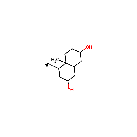 CCCC1CC(O)CC2CC(O)CCC12C